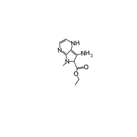 CCOC(=O)C1C(N)=C2NC=CN=C2N1C